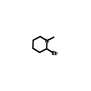 C[CH]C1CCCCN1C